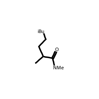 CCC(C)CCC(C)C(=O)NC